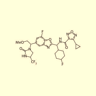 COCC(c1cc(F)c2oc(C(NC(=O)c3nonc3C3CC3)C3CCC(F)CC3)nc2c1)N1CC(C(F)(F)F)NC1=O